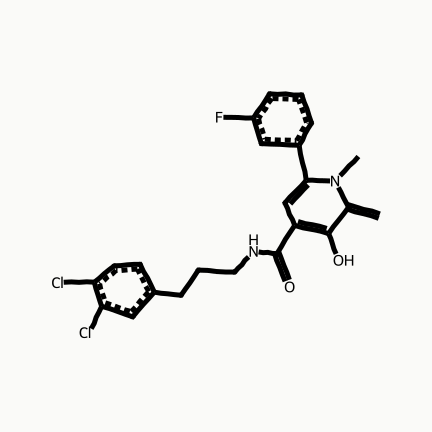 C=C1C(O)=C(C(=O)NCCCc2ccc(Cl)c(Cl)c2)C=C(c2cccc(F)c2)N1C